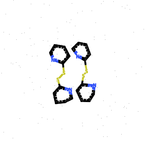 c1ccc(SSc2ccccn2)nc1.c1ccc(SSc2ccccn2)nc1